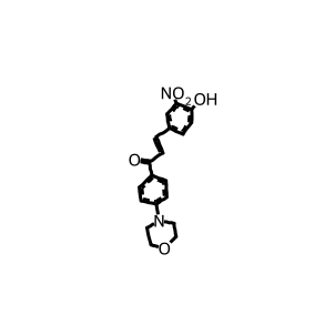 O=C(/C=C/c1ccc(O)c([N+](=O)[O-])c1)c1ccc(N2CCOCC2)cc1